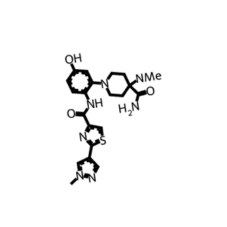 CNC1(C(N)=O)CCN(c2cc(O)ccc2NC(=O)c2csc(-c3cnn(C)c3)n2)CC1